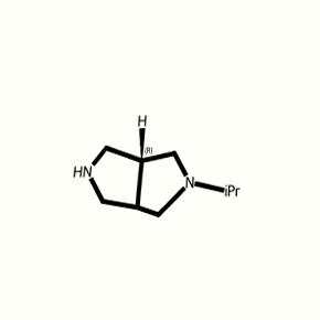 CC(C)N1CC2CNC[C@@H]2C1